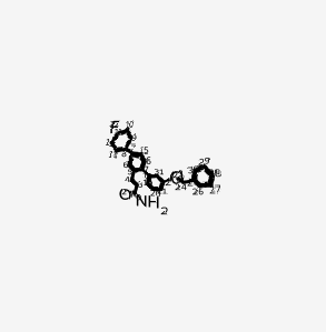 NC(=O)/C=C/c1cc(-c2ccc(F)cc2)ccc1-c1cccc(OCc2ccccc2)c1